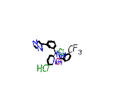 Cl.O=C(NC(c1cccc(-c2cnccn2)c1)[C@@H]1CCCCN1)c1cccc(C(F)(F)F)c1Cl